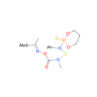 CSC(C)=NOC(=O)N(C)SN(C(C)C)P1(=S)OCCCO1